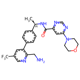 C[C@@H](NC(=O)c1cc(N2CCOCC2)ncn1)c1ccc(-c2cc(C(F)(F)F)cnc2CN)cc1